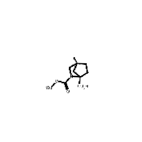 CC(C)(C)OC(=O)N1C[C@@H]2CC[C@@]1(C(=O)O)C2